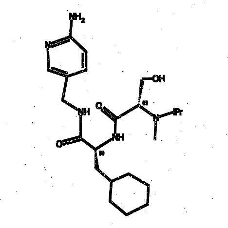 CC(C)N(C)[C@@H](CO)C(=O)N[C@@H](CC1CCCCC1)C(=O)NCc1ccc(N)nc1